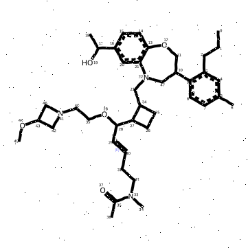 CCCc1cc(C)ccc1C1COc2ccc(C(C)O)cc2N(CC2CCC2C(/C=C/CCN(C)C(C)=O)OCCN2CC(OC)C2)C1